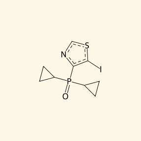 O=P(c1ncsc1I)(C1CC1)C1CC1